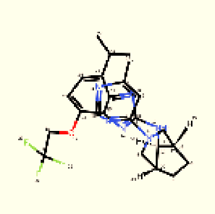 Cc1cc(N2C[C@H]3CC[C@@H](C2)[C@@H]3NC2=NC3C(OCC(F)(F)F)=CC=C(C(C)C)C3=N2)ncn1